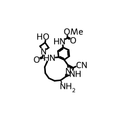 COC(=O)Nc1ccc2c(c1)N[C@@H](C(=O)N1CC(O)C1)CCCC[C@H](N)c1nc-2c(C#N)[nH]1